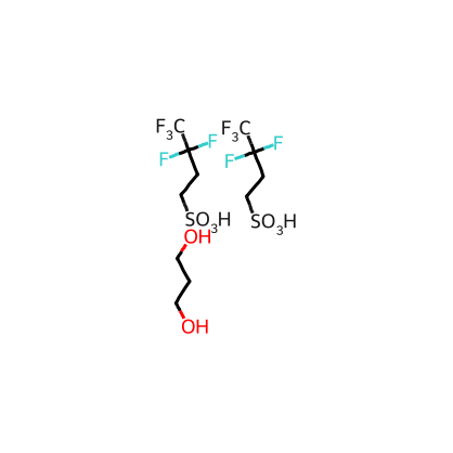 O=S(=O)(O)CCC(F)(F)C(F)(F)F.O=S(=O)(O)CCC(F)(F)C(F)(F)F.OCCCO